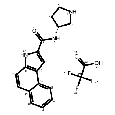 O=C(N[C@@H]1CCNC1)c1cc2c(ccc3ccccc32)[nH]1.O=C(O)C(F)(F)F